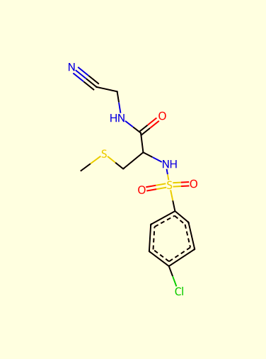 CSCC(NS(=O)(=O)c1ccc(Cl)cc1)C(=O)NCC#N